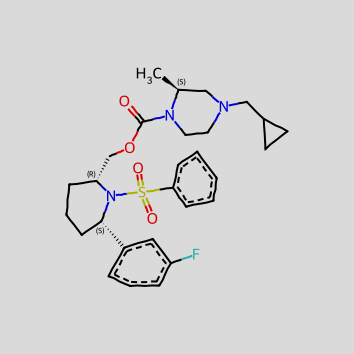 C[C@H]1CN(CC2CC2)CCN1C(=O)OC[C@H]1CCC[C@@H](c2cccc(F)c2)N1S(=O)(=O)c1ccccc1